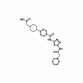 O=C(O)CC1CCC(c2ccc(C(=O)Nc3nnc(NC(=O)Cc4ccccc4)s3)cc2)CC1